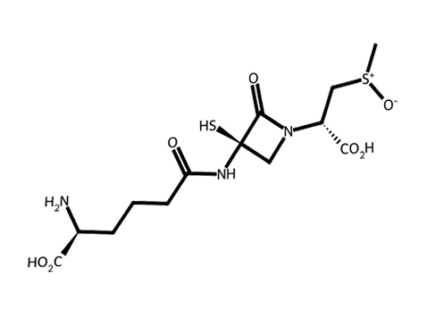 C[S+]([O-])C[C@H](C(=O)O)N1C[C@](S)(NC(=O)CCC[C@H](N)C(=O)O)C1=O